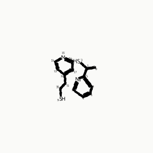 CC(S)c1ccccn1.SCCc1ccncc1